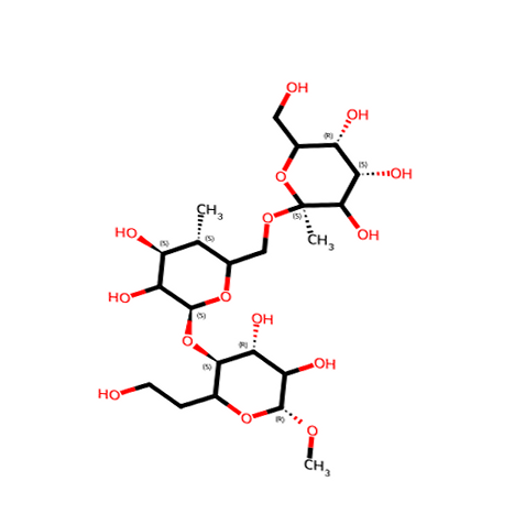 CO[C@@H]1OC(CCO)[C@@H](O[C@@H]2OC(CO[C@@]3(C)OC(CO)[C@H](O)[C@H](O)C3O)[C@@H](C)[C@H](O)C2O)[C@H](O)C1O